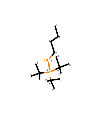 CCCCP[PH](C(C)(C)C)(C(C)(C)C)C(C)(C)C